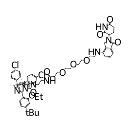 CCOc1cc(C(C)(C)C)ccc1C1=N[C@@](C)(c2ccc(Cl)cc2)[C@@](C)(c2ccc(Cl)cc2)N1C(=O)NCCNC(=O)CCOCCOCCOCCNc1cccc2c1CN(C1CCC(=O)NC1=O)C2=O